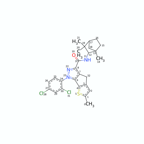 Cc1cc2c(s1)-c1c(c(C(=O)NC3C4(C)CCC(C4)C3(C)C)nn1-c1ccc(Cl)cc1Cl)C2